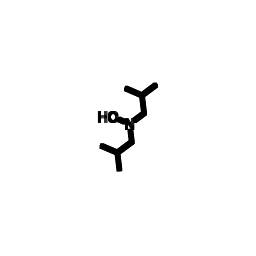 CC(C)CN(O)CC(C)C